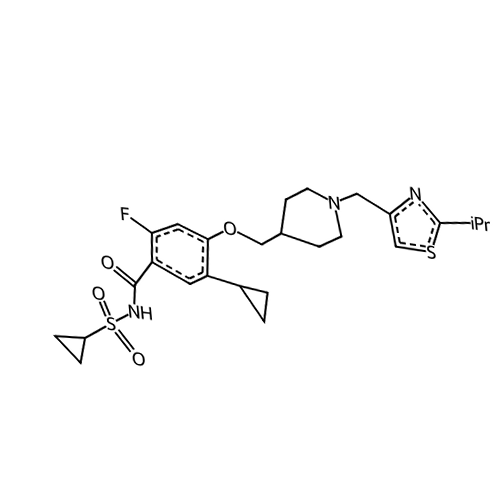 CC(C)c1nc(CN2CCC(COc3cc(F)c(C(=O)NS(=O)(=O)C4CC4)cc3C3CC3)CC2)cs1